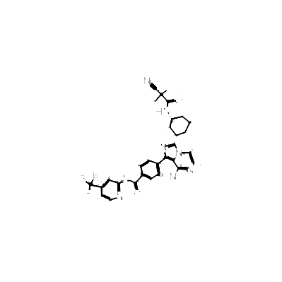 CC(C)(C#N)C(=O)N[C@H]1CCC[C@H](c2nc(-c3ccc(C(=O)Nc4cc(C(F)(F)F)ccn4)cc3)c3c(N)nccn23)C1